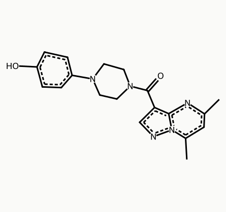 Cc1cc(C)n2ncc(C(=O)N3CCN(c4ccc(O)cc4)CC3)c2n1